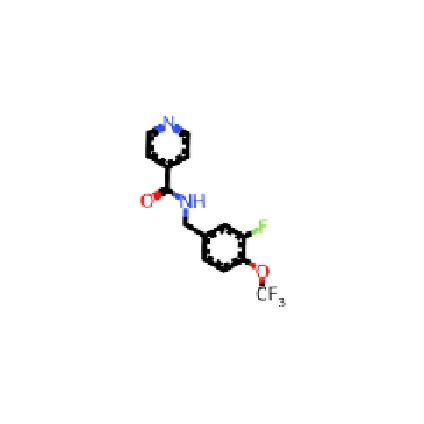 O=C(NCc1ccc(OC(F)(F)F)c(F)c1)c1ccncc1